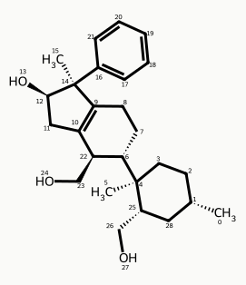 C[C@H]1CC[C@](C)([C@H]2CCC3=C(C[C@@H](O)[C@@]3(C)c3ccccc3)[C@@H]2CO)[C@@H](CO)C1